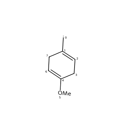 [CH2]C1=CCC(OC)=CC1